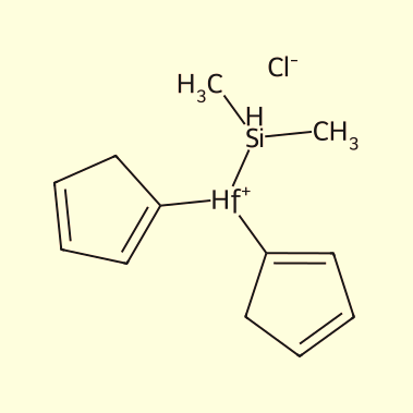 C[SiH](C)[Hf+]([C]1=CC=CC1)[C]1=CC=CC1.[Cl-]